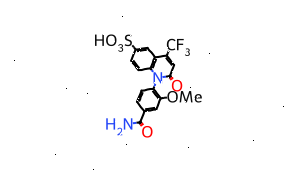 COc1cc(C(N)=O)ccc1-n1c(=O)cc(C(F)(F)F)c2cc(S(=O)(=O)O)ccc21